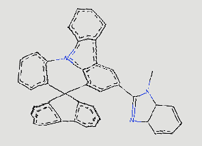 CN1C(c2cc3c4c(c2)c2ccccc2n4-c2ccccc2C32c3ccccc3-c3ccccc32)=NC2C=CC=CC21